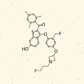 Cc1cc(C)c(C(=O)c2sc3cc(O)ccc3c2Oc2ccc(OC3CN(CCCF)C3)cc2CF)c(C)c1